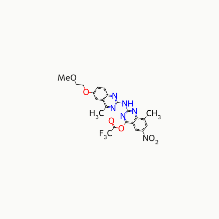 COCCOc1ccc2nc(Nc3nc(OC(=O)C(F)(F)F)c4cc([N+](=O)[O-])cc(C)c4n3)nc(C)c2c1